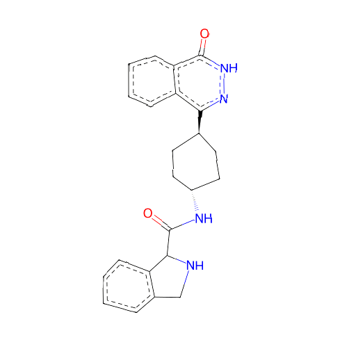 O=C(N[C@H]1CC[C@H](c2n[nH]c(=O)c3ccccc32)CC1)C1NCc2ccccc21